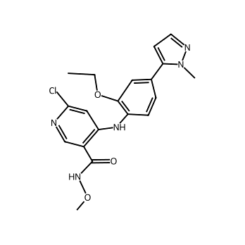 CCOc1cc(-c2ccnn2C)ccc1Nc1cc(Cl)ncc1C(=O)NOC